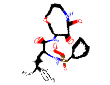 CC(C)CC(NS(=O)(=O)c1ccccc1)C(=O)NC1COCCCNC(=O)C1=O